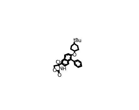 CC1(c2ccc3c(-c4ccccc4)c(OC4CCC(C(C)(C)C)CC4)ccc3c2)COC(=O)N1